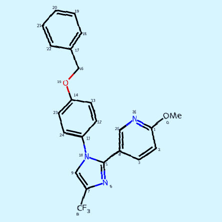 COc1ccc(-c2nc(C(F)(F)F)cn2-c2ccc(OCc3ccccc3)cc2)cn1